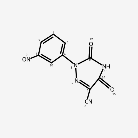 N#Cc1nn(-c2cccc(N=O)c2)c(=O)[nH]c1=O